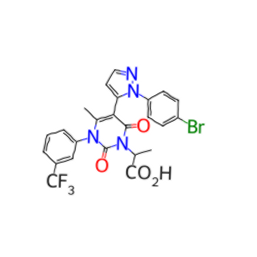 Cc1c(-c2ccnn2-c2ccc(Br)cc2)c(=O)n(C(C)C(=O)O)c(=O)n1-c1cccc(C(F)(F)F)c1